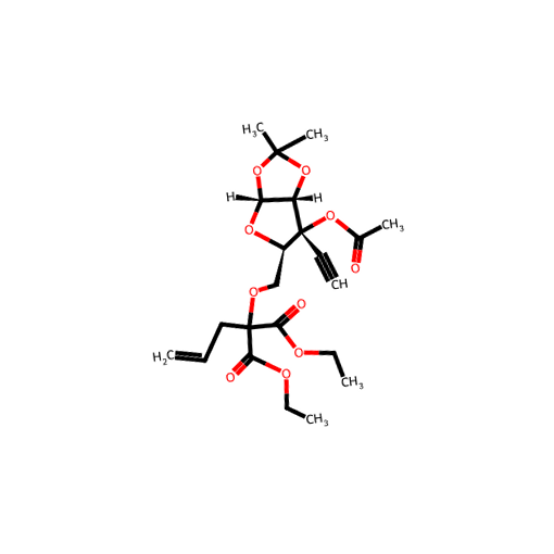 C#C[C@@]1(OC(C)=O)[C@@H](COC(CC=C)(C(=O)OCC)C(=O)OCC)O[C@@H]2OC(C)(C)O[C@@H]21